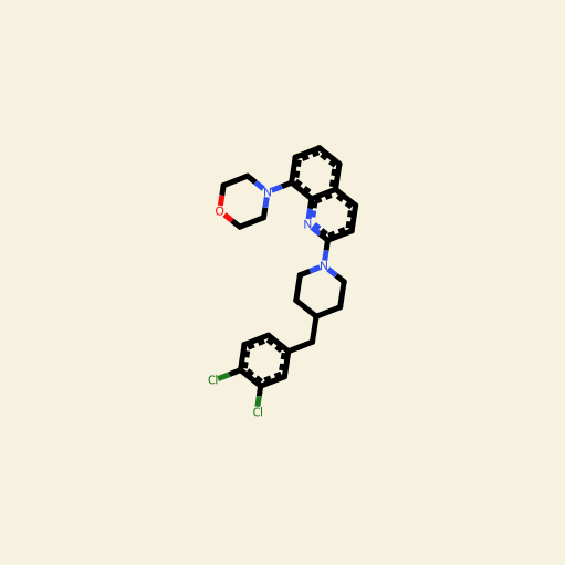 Clc1ccc(CC2CCN(c3ccc4cccc(N5CCOCC5)c4n3)CC2)cc1Cl